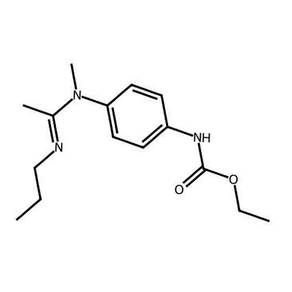 CCCN=C(C)N(C)c1ccc(NC(=O)OCC)cc1